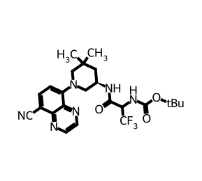 CC1(C)C[C@@H](NC(=O)C(NC(=O)OC(C)(C)C)C(F)(F)F)CN(c2ccc(C#N)c3nccnc23)C1